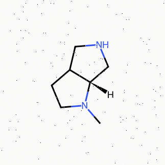 CN1CCC2CNC[C@@H]21